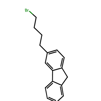 BrCCCCc1ccc2c(c1)-c1ccccc1C2